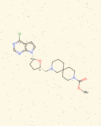 CC(C)(C)OC(=O)N1CCC2(CCCN(C[C@@H]3CC[C@H](n4ccc5c(Cl)ncnc54)O3)C2)CC1